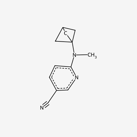 CN(c1ccc(C#N)cn1)C12CC(C1)C2